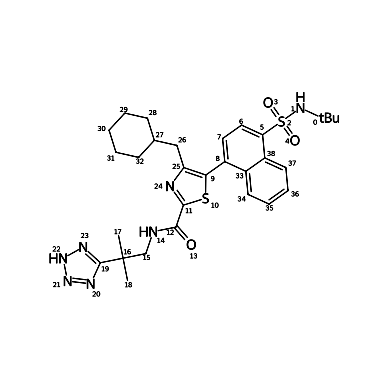 CC(C)(C)NS(=O)(=O)c1ccc(-c2sc(C(=O)NCC(C)(C)c3nn[nH]n3)nc2CC2CCCCC2)c2ccccc12